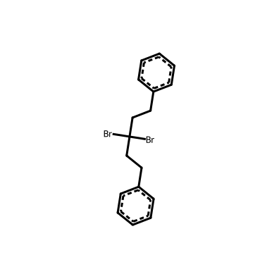 BrC(Br)(CCc1ccccc1)CCc1ccccc1